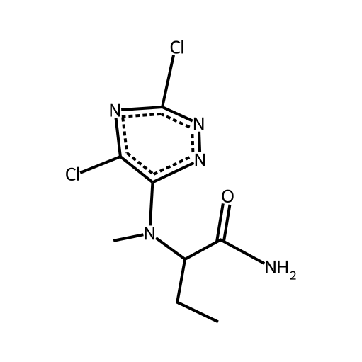 CCC(C(N)=O)N(C)c1nnc(Cl)nc1Cl